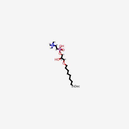 CCCCCCCCCCCCCCCCCCOCC(O)COP(=O)(O)CC[N+](C)(C)C